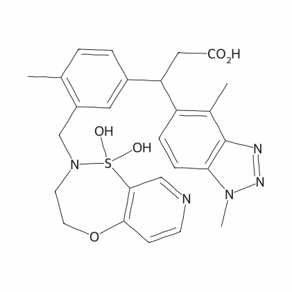 Cc1ccc(C(CC(=O)O)c2ccc3c(nnn3C)c2C)cc1CN1CCOc2ccncc2S1(O)O